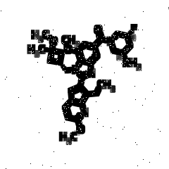 CCC1C(c2nc3cc(C(=O)N4C[C@H](N)C[C@@H](F)C4)cc(OC)c3n2C[C@H]2C[C@@](C)(OC)C2)=Cc2ccc(OC)nc21